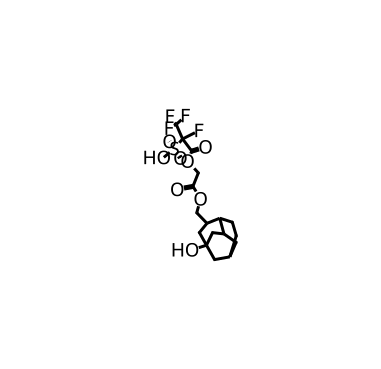 O=C(COC(=O)C(F)(C(F)(F)F)S(=O)(=O)O)OCC1CC2(O)CC3CCC1C(C3)C2